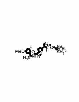 COc1cc(F)cc([C@@H](C)NC(=O)c2ncn3cc(-c4cnn(COCC[Si](C)(C)C)c4F)ccc23)c1